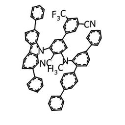 CN(c1cc(-c2ccccc2)ccc1-c1ccc(-c2ccccc2)cc1)c1cc(-c2cc(C#N)cc(C(F)(F)F)c2)cc(-n2c3cc(-c4ccccc4)ccc3c3ccc(-c4ccccc4)cc32)c1C#N